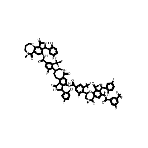 CN1CCCOc2c(cc(NC(=O)c3cc(F)c(C4CCc5c(cc(NC(=O)c6cc(F)c(C7CN(C)C(=O)c8cc(NC(=O)c9cc(F)cc(C(F)(F)F)c9)c9c(c8O7)C(=O)NC9c7cc(F)ccc7Cl)c(C(F)(F)F)c6)c6c5C(=O)NC6c5cc(F)ccc5Cl)C(=O)NC4)c(C(F)(F)F)c3)c3c2C(=O)NC3c2cc(F)ccc2Cl)C1=O